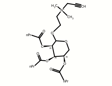 C#CC[N+](C)(C)CCOC1OC[C@@H](OC(=O)CCC)[C@@H](OC(=O)CCC)[C@H]1OC(=O)CCC